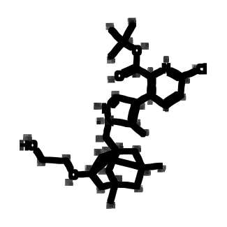 Cc1c(-c2ccc(Cl)nc2C(=O)OC(C)(C)C)cnn1CC12CC3(C)CC(C)(C1)CC(OCCO)(C3)C2